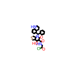 O=C(Cl)CNC(=O)c1c(O)c2c(n(C(c3ccccc3)c3cccc4c3CC=CN4)c1=O)CSC2